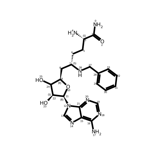 NC(=O)[C@@H](N)CC[C@@H](C[C@H]1O[C@@H](n2cnc3c(N)ncnc32)[C@@H](O)C1O)NCc1ccccc1